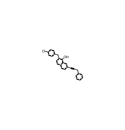 Oc1c(Cc2ccc(Cl)cc2)ccc2ccc(C#CCc3ccccc3)cc12